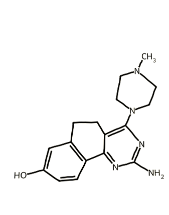 CN1CCN(c2nc(N)nc3c2CCc2cc(O)ccc2-3)CC1